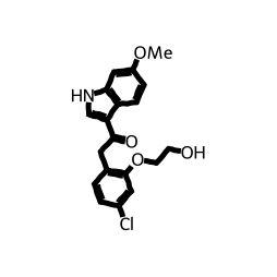 COc1ccc2c(C(=O)Cc3ccc(Cl)cc3OCCO)c[nH]c2c1